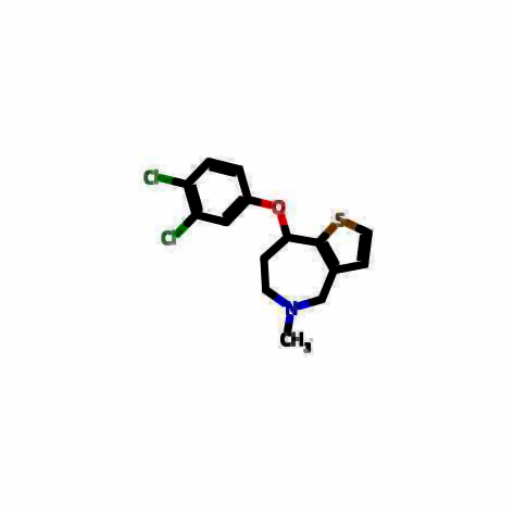 CN1CCC(Oc2ccc(Cl)c(Cl)c2)c2sccc2C1